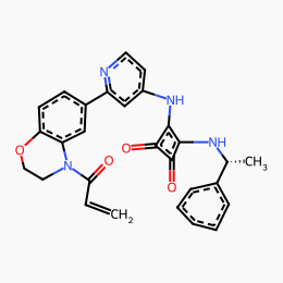 C=CC(=O)N1CCOc2ccc(-c3cc(Nc4c(N[C@H](C)c5ccccc5)c(=O)c4=O)ccn3)cc21